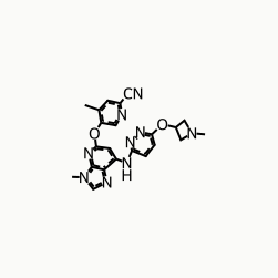 Cc1cc(C#N)ncc1Oc1cc(Nc2ccc(OC3CN(C)C3)nn2)c2ncn(C)c2n1